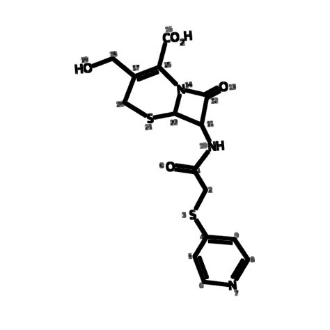 O=C(CSc1ccncc1)NC1C(=O)N2C(C(=O)O)=C(CO)CSC12